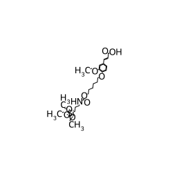 CCOc1cc(C=CC(=O)O)ccc1OCCCCCCOC(=O)NCCC[Si](OCC)(OCC)OCC